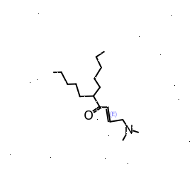 CCCCCC(CCCCC)C(=O)/C=C/CN(C)C